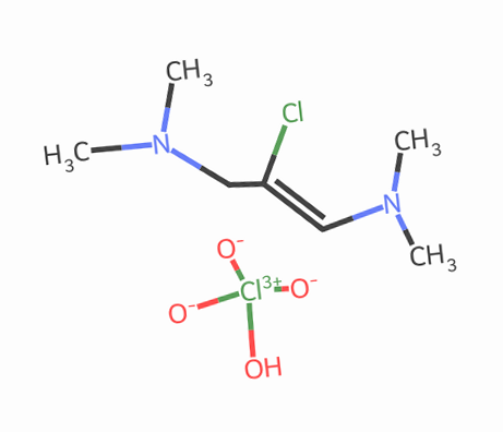 CN(C)C=C(Cl)CN(C)C.[O-][Cl+3]([O-])([O-])O